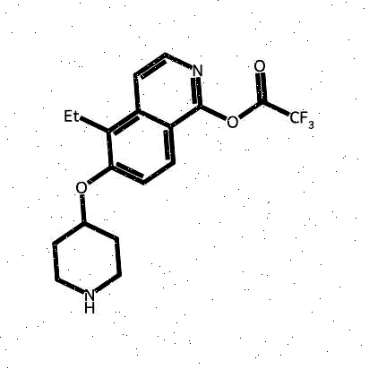 CCc1c(OC2CCNCC2)ccc2c(OC(=O)C(F)(F)F)nccc12